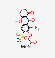 CCS(=O)(=O)c1ccc(C(=O)C2=C(O)CCCC2=O)c(C(F)(F)F)c1OCC(=O)NC